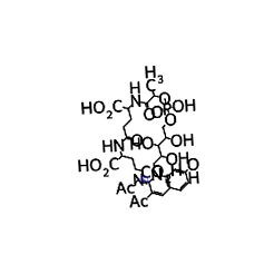 CC(=O)/N=c1\c(C(C)=O)cc2ccc(O)cc2n1CC(O)C(O)C(O)COP(=O)(O)OC(C)C(=O)NC(CCC(=O)NC(CCC(=O)O)C(=O)O)C(=O)O